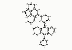 C1=Cc2c(c(-c3ccccc3)c3ccccc3c2-c2cccc(-c3cc4cccc5oc6cccc3c6c45)c2)CC1